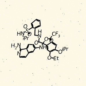 CCOc1cc(C(Nc2ccc3c(N)nccc3c2)(OC(=O)C(F)(F)F)C(=O)NCc2ccccc2S(=O)(=O)NC(C)C)ccc1OC(C)C